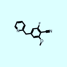 COc1cc(Cc2ccccn2)cc(F)c1C#N